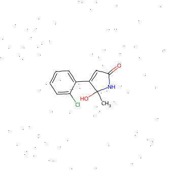 CC1(O)NC(=O)C=C1c1ccccc1Cl